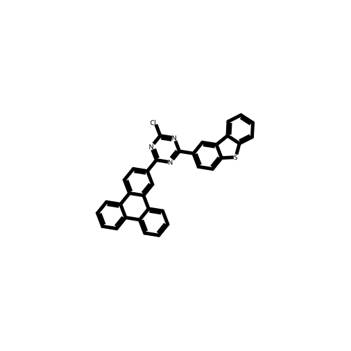 Clc1nc(-c2ccc3sc4ccccc4c3c2)nc(-c2ccc3c4ccccc4c4ccccc4c3c2)n1